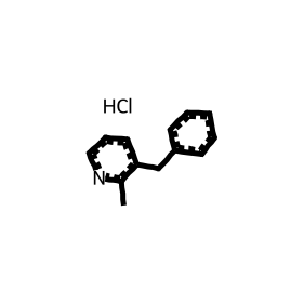 Cc1ncccc1Cc1ccccc1.Cl